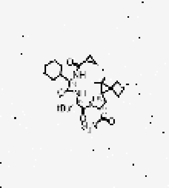 CC(C)(C)[C@H](NC(=O)[C@@H](NC(=O)C1CC1)C1CCCCC1)C(=O)N1C[C@]2(C[C@H]1C(N)=O)C(C)(C)C21CCC1